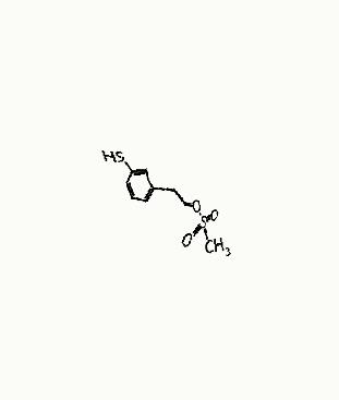 CS(=O)(=O)OCCc1cccc(S)c1